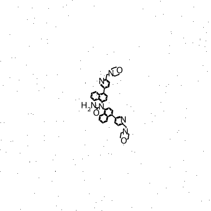 NC(=O)N(c1ccc(-c2ccc(CN3CCOCC3)nc2)c2ccccc12)c1ccc(-c2ccc(CN3CCOCC3)nc2)c2ccccc12